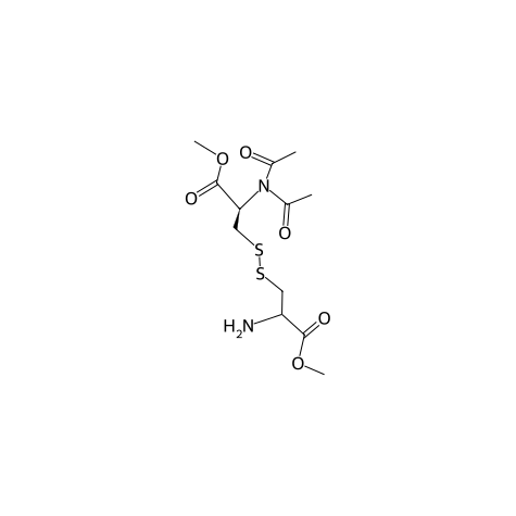 COC(=O)C(N)CSSC[C@@H](C(=O)OC)N(C(C)=O)C(C)=O